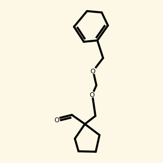 O=CC1(COCOCC2=CCCC=C2)CCCC1